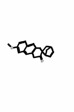 COc1ccc2cc3c(cc2c1)CC(=O)C1(C3)CC2C=CC1C2